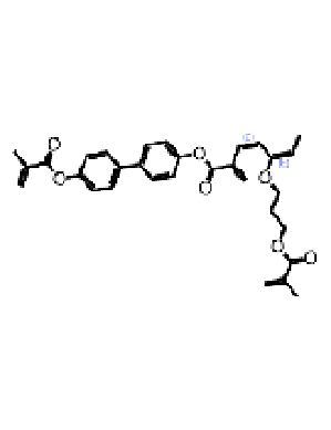 C=C(C)C(=O)OCCCOC(/C=C\C(=C)C(=O)Oc1ccc(-c2ccc(OC(=O)C(=C)C)cc2)cc1)=C/C